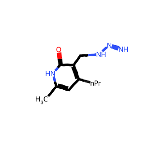 CCCc1cc(C)[nH]c(=O)c1CNN=N